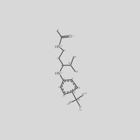 CC(=O)NCCC(Nc1ccc(C(F)(F)F)cc1)C(C)C